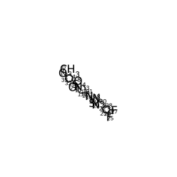 COc1ccc(S(=O)(=O)N2CCC3(CC2)CN(c2nc(Cc4ccc(F)c(F)c4)ns2)C3)cc1